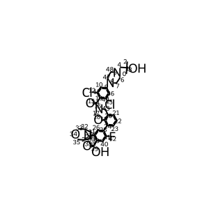 CC(C)(O)CN1CCN(c2cc(Cl)c(C(=O)N3COc4c(cccc4-c4cc(N5C6CCC5COC6)c(C(=O)O)cc4F)C3)c(Cl)c2)CC1